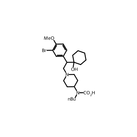 CCCCN(C(=O)O)C1CCN(CC(c2ccc(OC)c(Br)c2)C2(O)CCCCC2)CC1